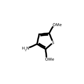 COc1cc(N)c(OC)s1